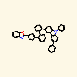 c1ccc(-c2ccc3c(c2)c2cc(-c4ccccc4-c4ccccc4-c4ccc(-c5nc6ccccc6o5)cc4)ccc2n3-c2ccccc2)cc1